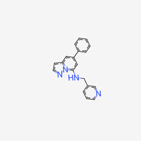 c1ccc(-c2cc(NCc3cccnc3)n3nccc3c2)cc1